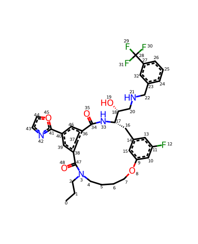 CCCN1CCCCOc2cc(F)cc(c2)C[C@@H]([C@H](O)CNCc2cccc(C(F)(F)F)c2)NC(=O)c2cc(cc(-c3ncco3)c2)C1=O